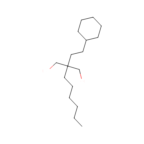 CCCCCCC(CO)(CO)CCC1CCCCC1